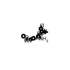 Cc1ccn(-c2cc(Cl)ccc2[C@@H](Oc2cc(N3CCC4(CC3)CN[C@H](C(=O)OC3CCCCC3)C4)nc(N)n2)C(F)(F)F)n1